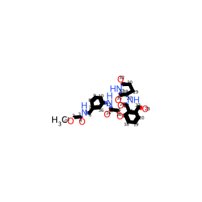 COCC(=O)NCc1cccc(NC(=O)COc2cccc(C=O)c2C(=O)NC2CCC(=O)NC2=O)c1